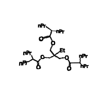 CCCC(CCC)C(=O)OCC(CC)(COC(=O)C(CCC)CCC)COC(=O)C(CCC)CCC